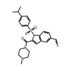 CC(C)c1ccc(S(=O)(=O)n2c(C(=O)N3CCN(C)CC3)cc3cc(C=S)ccc32)cc1